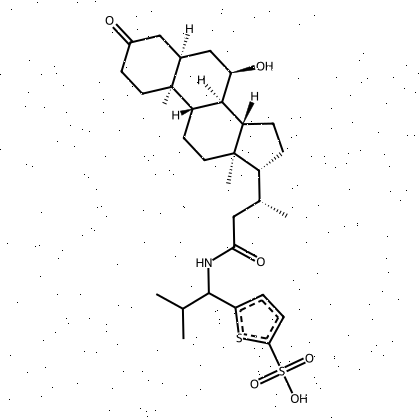 CC(C)C(NC(=O)C[C@@H](C)[C@H]1CC[C@H]2[C@@H]3[C@H](O)C[C@@H]4CC(=O)CC[C@]4(C)[C@H]3CC[C@]12C)c1ccc(S(=O)(=O)O)s1